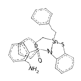 Nc1ccccc1S(=O)(=O)[N]1c2ccccc2[S][Sn]1([CH2]c1ccccc1)[CH2]c1ccccc1